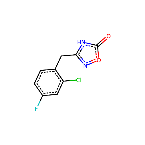 O=c1[nH]c(Cc2ccc(F)cc2Cl)no1